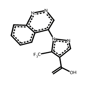 C=C(O)c1cnn(-c2cnnc3ccccc23)c1C(F)(F)F